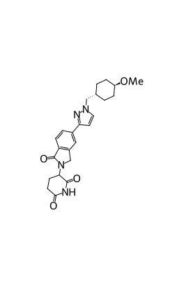 CO[C@H]1CC[C@H](Cn2ccc(-c3ccc4c(c3)CN(C3CCC(=O)NC3=O)C4=O)n2)CC1